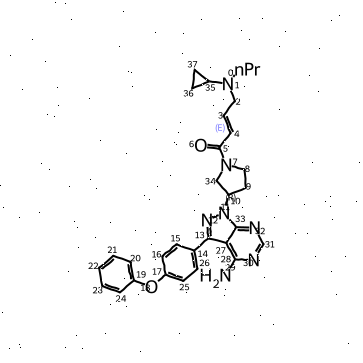 CCCN(C/C=C/C(=O)N1CC[C@@H](n2nc(-c3ccc(Oc4ccccc4)cc3)c3c(N)ncnc32)C1)C1CC1